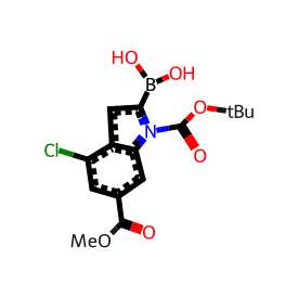 COC(=O)c1cc(Cl)c2cc(B(O)O)n(C(=O)OC(C)(C)C)c2c1